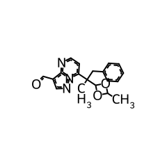 CC1OC(C(C)(Cc2ccccc2)c2ccnc3c(C=O)cnn23)O1